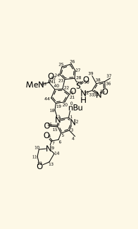 CCCCc1nc(C)c(CC(=O)N2CCOCC2)c(=O)n1Cc1ccc(-c2ccccc2S(=O)(=O)Nc2noc(C)c2C)c(C(=O)NC)c1